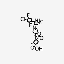 Cc1cc(N2CC3(CCN(Cc4cn(C(C)(C)C)nc4-c4cc(F)c(Cl)cc4F)CC3)OC2=O)ccc1C(=O)O